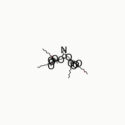 CCCCCCCC(=O)OC[C@@H](CCOc1cc(CN(C)C)cc(OCC[C@H](COC(=O)CCCCCCC)OC(=O)CCCCCCC)c1)OC(=O)CCCCCCC